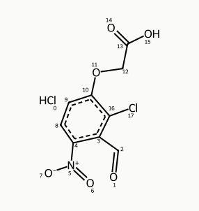 Cl.O=Cc1c([N+](=O)[O-])ccc(OCC(=O)O)c1Cl